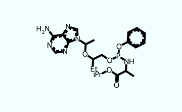 CCC(COP(NC(C)C(=O)OC(C)C)Oc1ccccc1)OC(C)n1cnc2c(N)ncnc21